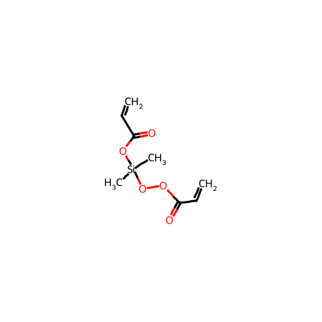 C=CC(=O)OO[Si](C)(C)OC(=O)C=C